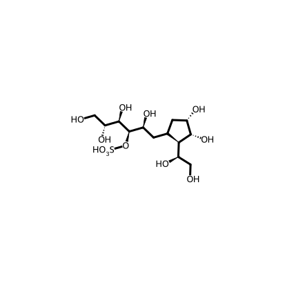 O=S(=O)(O)O[C@@H]([C@H](O)[C@H](O)CO)[C@@H](O)CC1C[C@H](O)[C@H](O)[C@H]1[C@H](O)CO